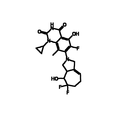 Cc1c(N2CC3=CCCC(F)(F)C(O)C3C2)c(F)c(O)c2c(=O)[nH]c(=O)n(C3CC3)c12